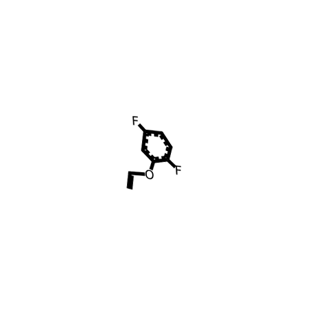 C=COc1cc(F)ccc1F